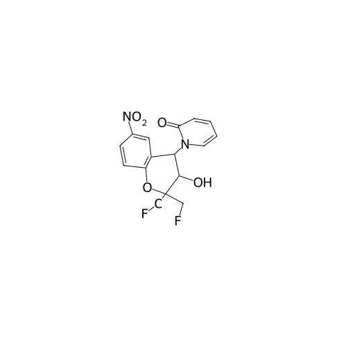 O=c1ccccn1C1c2cc([N+](=O)[O-])ccc2OC(CF)(CF)C1O